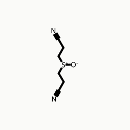 N#CCC[S+]([O-])CCC#N